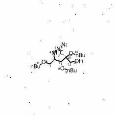 CCCCOC[C@@H](N=[N+]=[N-])[C@@H](OCCCC)[C@](C)(CO)OCCCC